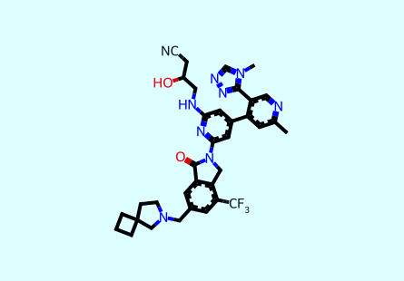 Cc1cc(-c2cc(NCC(O)CC#N)nc(N3Cc4c(cc(CN5CCC6(CCC6)C5)cc4C(F)(F)F)C3=O)c2)c(-c2nncn2C)cn1